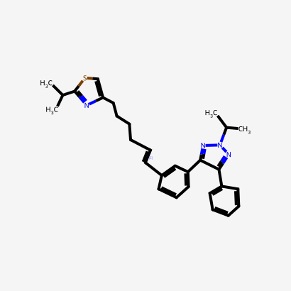 CC(C)c1nc(CCCC/C=C/c2cccc(-c3nn(C(C)C)nc3-c3ccccc3)c2)cs1